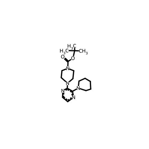 CC(C)(C)OC(=O)N1CCN(c2nccnc2N2CCCCC2)CC1